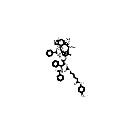 CC(=O)O[C@H]1C(=O)C2(C)[C@@H](O)C[C@H]3OC[C@@]3(OC(C)=O)[C@H]2[C@H](OC(=O)c2ccccc2)[C@]2(O)C[C@H](OC(=O)[C@H](OC(=O)OCCCCC(=O)Nc3ccc(C(=O)O)cc3)[C@@H](NC(=O)c3ccccc3)c3ccccc3)C(C)=C1C2(C)C